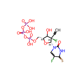 C#C[C@@]1(F)C(O)[C@@H](COP(=O)(O)OP(=O)(O)OP(=O)(O)O)O[C@H]1n1cc(F)c(=S)[nH]c1=O